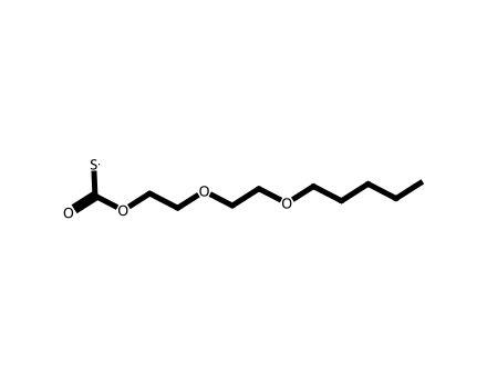 CCCCCOCCOCCOC(=O)[S]